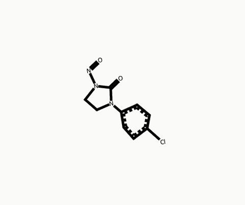 O=NN1CCN(c2ccc(Cl)cc2)C1=O